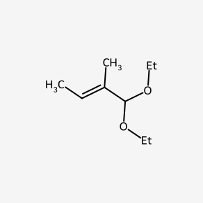 CC=C(C)C(OCC)OCC